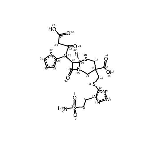 NS(=O)(=O)CCn1nnnc1SCC1(C(=O)O)CS[C@@H]2C(N(C(=O)CC(=O)O)c3cccs3)C(=O)N2C1